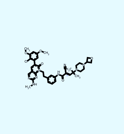 CNc1ncc2cc(-c3cc(OC)cc(OC)c3Cl)c(=O)n(CCc3cccc(NC(=O)/C(C#N)=C/C(C)(C)N4CCN(C5COC5)CC4)c3)c2n1